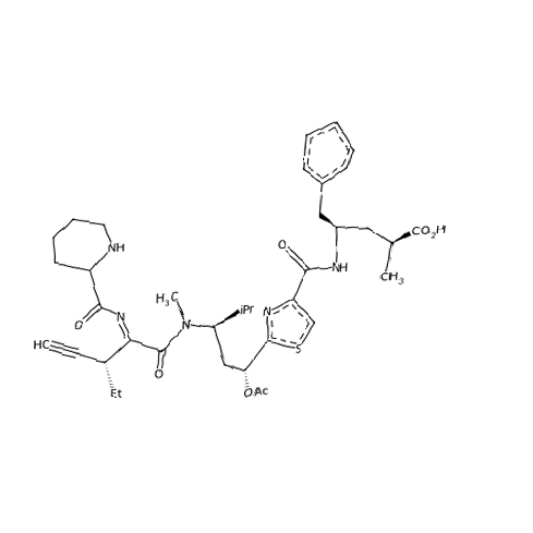 C#C[C@@H](CC)/C(=N\C(=O)C1CCCCN1)C(=O)N(C)[C@H](C[C@@H](OC(C)=O)c1nc(C(=O)N[C@@H](Cc2ccccc2)C[C@H](C)C(=O)O)cs1)C(C)C